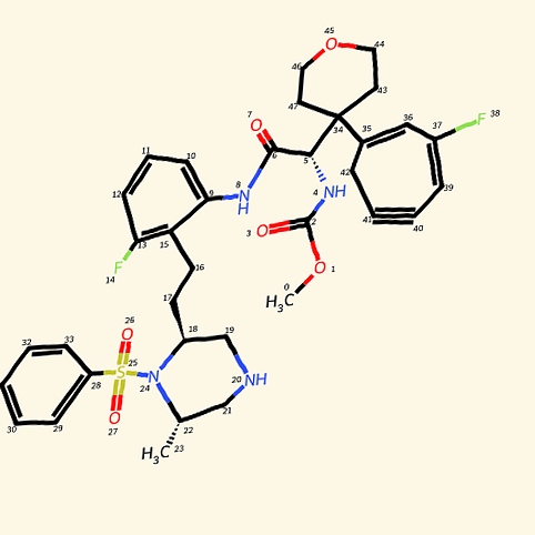 COC(=O)N[C@H](C(=O)Nc1cccc(F)c1CC[C@H]1CNC[C@H](C)N1S(=O)(=O)c1ccccc1)C1(C2=CC(F)=CC#CC2)CCOCC1